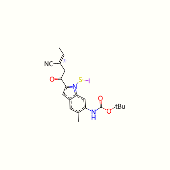 C/C=C(\C#N)CC(=O)c1cc2cc(C)c(NC(=O)OC(C)(C)C)cc2n1SI